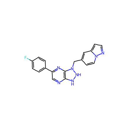 Fc1ccc(-c2cnc3c(n2)N(Cc2ccn4nccc4c2)NN3)cc1